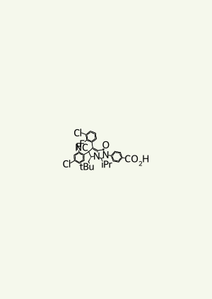 CC(C)[C@@H]1N(c2ccc(C(=O)O)cc2)C(=O)C2=C(c3cccc(Cl)c3F)[C@@](C#N)(c3ccc(Cl)cc3F)[C@H](CC(C)(C)C)N21